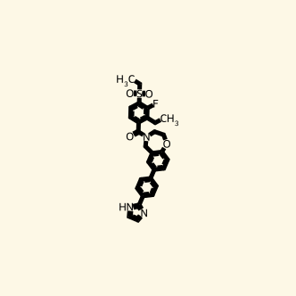 CCc1c(C(=O)N2CCOc3ccc(-c4ccc(-c5ncc[nH]5)cc4)cc3C2)ccc(S(=O)(=O)CC)c1F